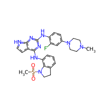 CN1CCN(c2ccc(Nc3nc(Nc4cccc5c4N(S(C)(=O)=O)CC5)c4cc[nH]c4n3)c(F)c2)CC1